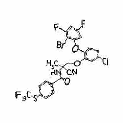 CC(C#N)(COc1cc(Cl)ccc1Oc1cc(F)cc(F)c1Br)NC(=O)c1ccc(SC(F)(F)F)cc1